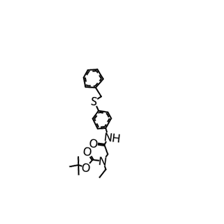 CCN(CC(=O)Nc1ccc(SCc2ccccc2)cc1)C(=O)OC(C)(C)C